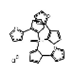 [CH2]=[Zr+2]([C]1=CC=CC1c1ccco1)([C]1=C(c2ccco2)C=CC1)[C]1=C(c2ccco2)C=CC1.[Cl-].[Cl-]